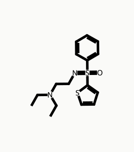 CCN(CC)CCN=S(=O)(c1ccccc1)c1cccs1